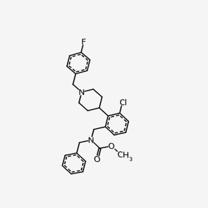 COC(=O)N(Cc1ccccc1)Cc1cccc(Cl)c1C1CCN(Cc2ccc(F)cc2)CC1